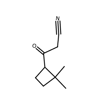 CC1(C)CCC1C(=O)CC#N